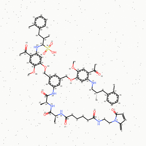 C=C1C=CC(=O)N1CCNC(=O)CCCCC(=O)N[C@@H](C)C(=O)N[C@@H](C)C(=O)Nc1cc(COc2cc(NC[C@@H](C)Cc3ccccc3C)c(C(C)=O)cc2OC)cc(COc2cc(NC(C(C)Cc3ccccc3C)S(=O)(=O)O)c(C(C)=O)cc2OC)c1